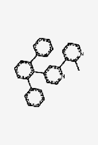 Cc1ncccc1-c1cc(-c2c(-c3ccccc3)cccc2-c2ccccc2)ccn1